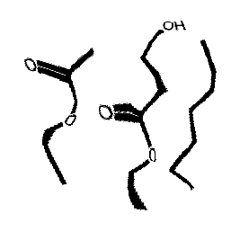 CCCCCC.CCOC(=O)CCO.CCOC(C)=O